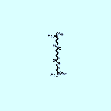 COC(CCCNC(=O)CCCCC(=O)NCCCC(OC)OC)OC